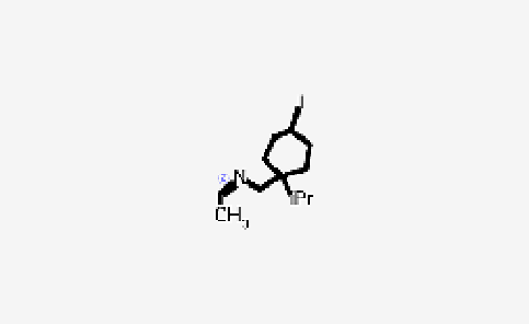 C/C=N\CC1(C(C)C)CCC(I)CC1